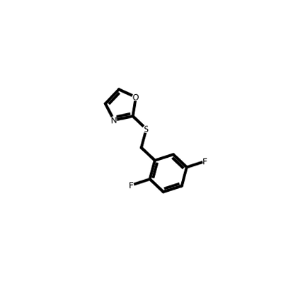 Fc1ccc(F)c(CSc2ncco2)c1